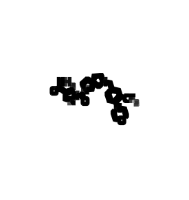 NC(=O)c1cnn(C(=O)N2CCC3(CCN(Cc4ccc(N5CCOCC5)c(C(F)(F)F)c4)C3)C2)c1